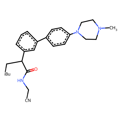 CCC(C)CC(C(=O)NCC#N)c1cccc(-c2ccc(N3CCN(C)CC3)cc2)c1